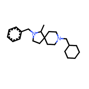 CC1N(Cc2ccccc2)CCC12CCN(CC1CCCCC1)CC2